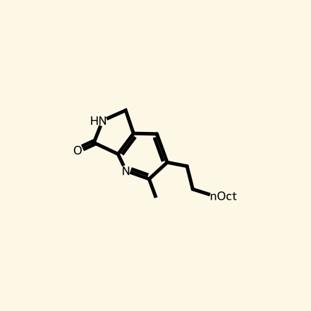 CCCCCCCCCCc1cc2c(nc1C)C(=O)NC2